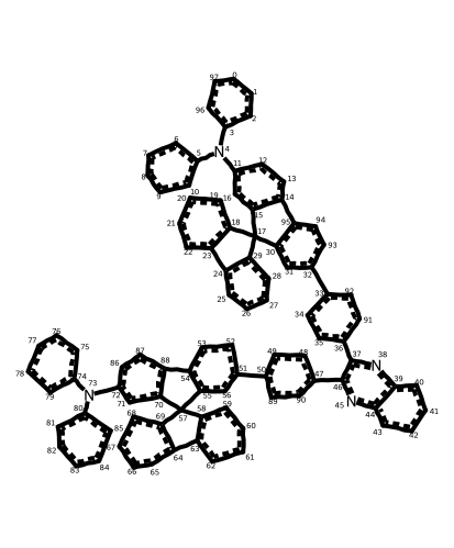 c1ccc(N(c2ccccc2)c2ccc3c(c2)C2(c4ccccc4-c4ccccc42)c2cc(-c4ccc(-c5nc6ccccc6nc5-c5ccc(-c6ccc7c(c6)C6(c8ccccc8-c8ccccc86)c6cc(N(c8ccccc8)c8ccccc8)ccc6-7)cc5)cc4)ccc2-3)cc1